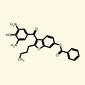 CCCCc1oc2cc(OC(=O)c3ccccc3)ccc2c1C(=O)c1cc(N)c(O)c(N)c1